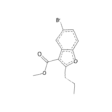 CCCc1oc2ccc(Br)cc2c1C(=O)OC